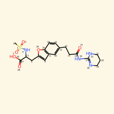 CS(=O)(=O)NC(Cc1cc2cc(CCC(=O)NC3=NCCCN3)ccc2o1)C(=O)O